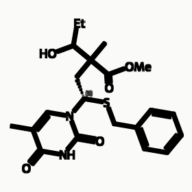 CCC(O)C(C)(C[C@H](SCc1ccccc1)n1cc(C)c(=O)[nH]c1=O)C(=O)OC